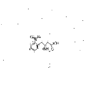 NC(CC(=O)O)Cc1ccccc1[N+](=O)[O-]